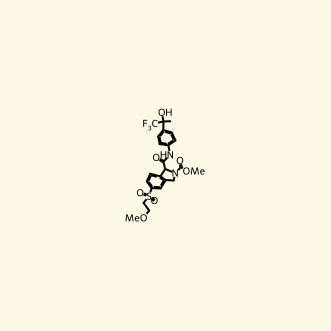 COCCS(=O)(=O)c1ccc2c(c1)CN(C(=O)OC)C2C(=O)Nc1ccc(C(C)(O)C(F)(F)F)cc1